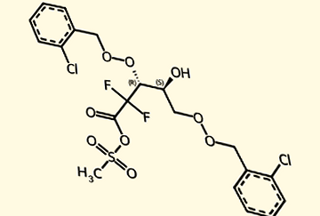 CS(=O)(=O)OC(=O)C(F)(F)[C@H](OOCc1ccccc1Cl)[C@@H](O)COOCc1ccccc1Cl